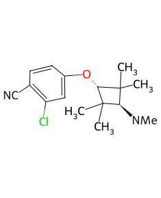 CN[C@H]1C(C)(C)[C@H](Oc2ccc(C#N)c(Cl)c2)C1(C)C